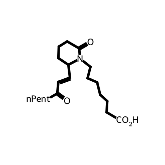 CCCCCC(=O)C=CC1CCCC(=O)N1CCCCCCC(=O)O